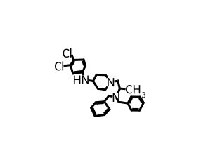 CC(CN1CCC(Nc2ccc(Cl)c(Cl)c2)CC1)N(Cc1ccccc1)Cc1ccccc1